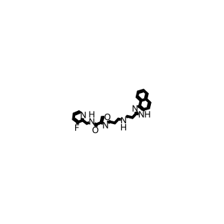 O=C(NCc1ncccc1F)c1coc(CCNCCc2nc3c(ccc4ccccc43)[nH]2)n1